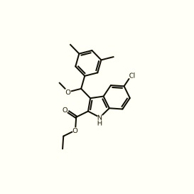 CCOC(=O)c1[nH]c2ccc(Cl)cc2c1C(OC)c1cc(C)cc(C)c1